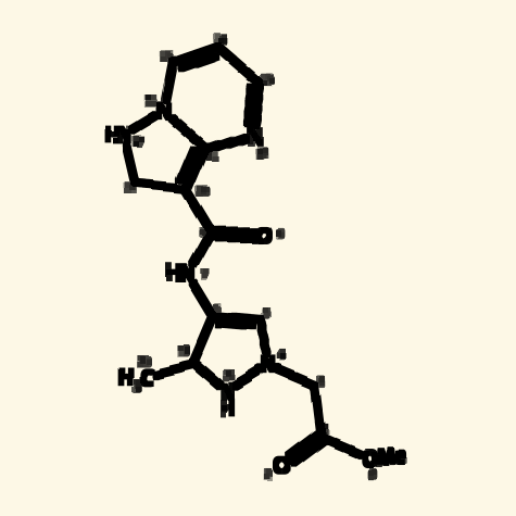 COC(=O)CN1C=C(NC(=O)C2=C3N=CC=CN3NC2)C(C)N1